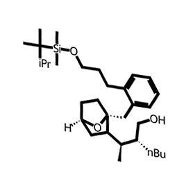 CCCC[C@@H](CO)[C@@H](C)C1C[C@H]2CC[C@]1(Cc1ccccc1CCCO[Si](C)(C)C(C)(C)C(C)C)O2